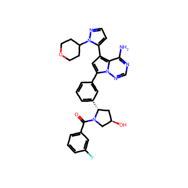 Nc1ncnn2c(-c3cccc([C@@H]4C[C@@H](O)CN4C(=O)c4cccc(F)c4)c3)cc(-c3ccnn3C3CCOCC3)c12